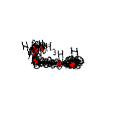 CCN(c1cc(-c2ccc(CN3CCN(C(=O)CCOCCOCCOCCOCCOCCC(=O)NCCCOC4CCCC5C(=O)N(C6CCC(=O)NC6=O)C(=O)C45)CC3)cc2)cc(C(=O)NCc2c(C)cc(C)[nH]c2=O)c1C)C1CCOCC1